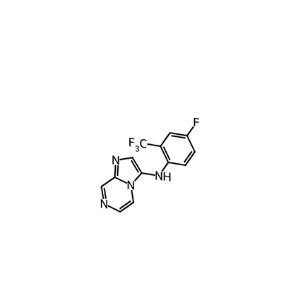 Fc1ccc(Nc2cnc3cnccn23)c(C(F)(F)F)c1